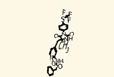 CC1(Cc2ccnc(NS(=O)(=O)Cc3ccccc3)c2)NC(=O)N(c2ccc(SC(F)(F)F)cc2)C1=O